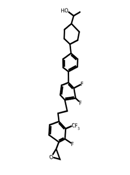 CC(O)C1CCC(c2ccc(-c3ccc(CCc4ccc(C5CO5)c(F)c4C(F)(F)F)c(F)c3F)cc2)CC1